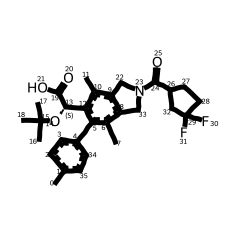 Cc1ccc(-c2c(C)c3c(c(C)c2[C@H](OC(C)(C)C)C(=O)O)CN(C(=O)C2CCC(F)(F)C2)C3)cc1